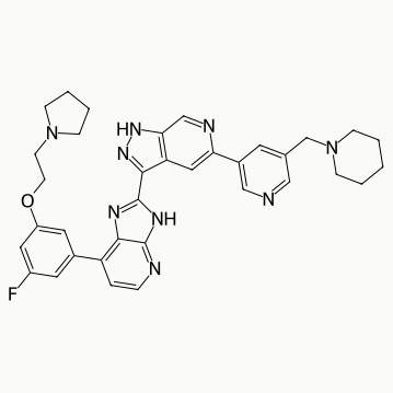 Fc1cc(OCCN2CCCC2)cc(-c2ccnc3[nH]c(-c4n[nH]c5cnc(-c6cncc(CN7CCCCC7)c6)cc45)nc23)c1